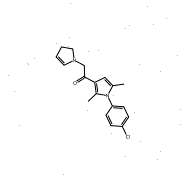 Cc1cc(C(=O)CN2C=CCC2)c(C)n1-c1ccc(Cl)cc1